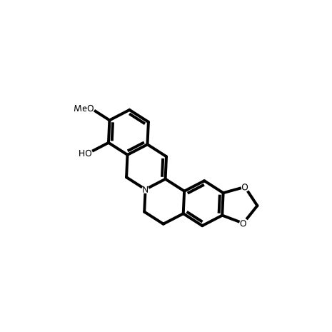 COc1ccc2c(c1O)CN1CCc3cc4c(cc3C1=C2)OCO4